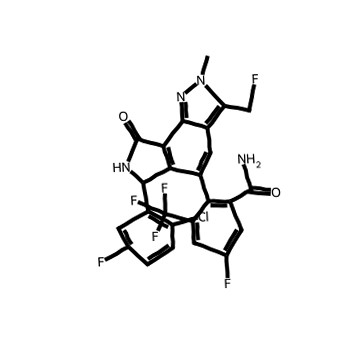 Cn1nc2c3c(c(-c4c(C(N)=O)cc(F)cc4C(F)(F)F)cc2c1CF)C(c1cc(F)ccc1Cl)NC3=O